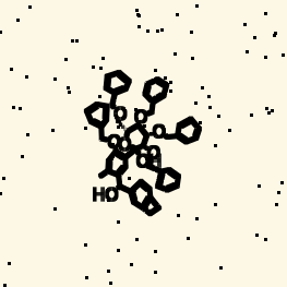 Cc1cc(OCc2ccccc2)c(C2(O)O[C@H](COCc3ccccc3)[C@@H](OCc3ccccc3)[C@H](OCc3ccccc3)[C@H]2OCc2ccccc2)cc1C(O)c1ccc2c(c1)CC2